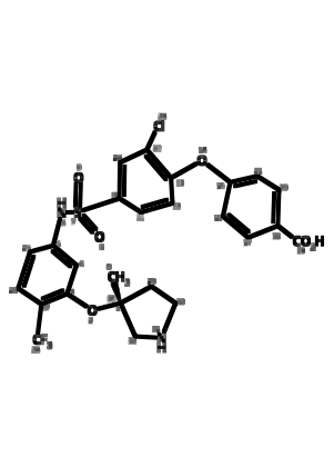 C[C@@]1(Oc2cc(NS(=O)(=O)c3ccc(Oc4ccc(C(=O)O)cc4)c(Cl)c3)ccc2C(F)(F)F)CCNC1